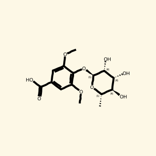 COc1cc(C(=O)O)cc(OC)c1O[C@@H]1O[C@@H](C)[C@H](O)[C@@H](O)[C@H]1O